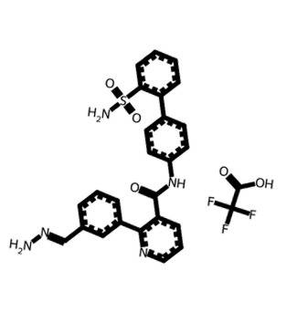 NN=Cc1cccc(-c2ncccc2C(=O)Nc2ccc(-c3ccccc3S(N)(=O)=O)cc2)c1.O=C(O)C(F)(F)F